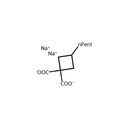 CCCCCC1CC(C(=O)[O-])(C(=O)[O-])C1.[Na+].[Na+]